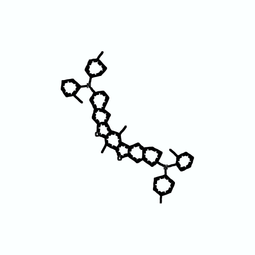 Cc1ccc(N(c2ccc3cc4c(cc3c2)oc2c(C)c3oc5cc6cc(N(c7ccc(C)cc7)c7ccccc7C)ccc6cc5c3c(C)c24)c2ccccc2C)cc1